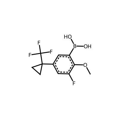 COc1c(F)cc(C2(C(F)(F)F)CC2)cc1B(O)O